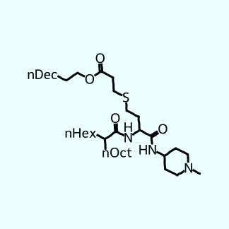 CCCCCCCCCCCCOC(=O)CCSCCC(NC(=O)C(CCCCCC)CCCCCCCC)C(=O)NC1CCN(C)CC1